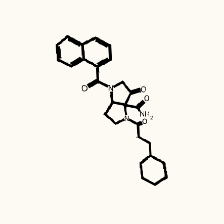 NC(=O)C12C(=O)CN(C(=O)c3cccc4ccccc34)C1CCN2C(=O)[CH]CC1CCCCC1